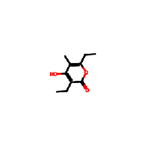 CCc1oc(=O)c(CC)c(O)c1C